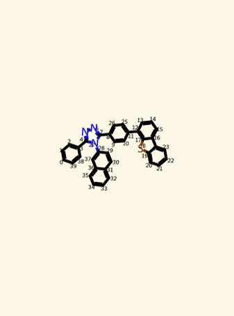 c1ccc(-c2nnc(-c3ccc(-c4cccc5c4sc4ccccc45)cc3)n2-c2ccc3ccccc3c2)cc1